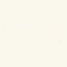 C/C=C/C(C)=C\C=C\[C@H](C)CC(=O)OCC